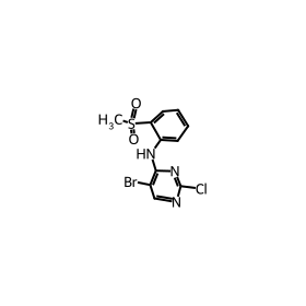 CS(=O)(=O)c1ccccc1Nc1nc(Cl)ncc1Br